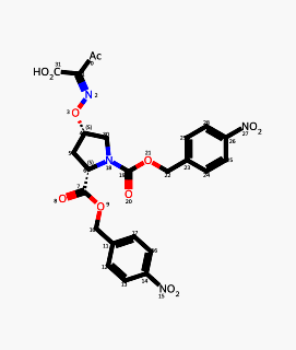 CC(=O)C(=NO[C@H]1C[C@@H](C(=O)OCc2ccc([N+](=O)[O-])cc2)N(C(=O)OCc2ccc([N+](=O)[O-])cc2)C1)C(=O)O